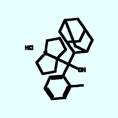 Cc1ccccc1C(O)(C1C2CC3CC(C2)CC1C3)C12CCCN1CCC2.Cl